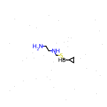 NCCNCSBC1CC1